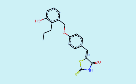 CCCc1c(O)cccc1COc1ccc(/C=C2\SC(=S)NC2=O)cc1